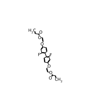 C=CC(=O)O/C=C\Oc1ccc(-c2ccc(O/C=C\OC(=O)C=C)cc2F)c(F)c1